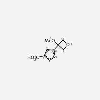 COC1(n2ccc(C(=O)O)c2)COC1